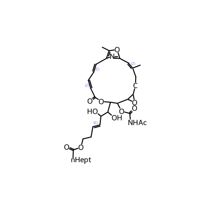 CCCCCCCC(=O)OCC/C=C/C(O)C(O)C1OC(=O)/C=C\C=C\c2nc(oc2C)/C=C(/C)CCC2OC2C1OC(=O)NC(C)=O